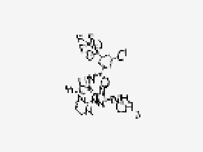 CNc1nc([C@H](C)NC(=O)c2cc(Cl)cc(S(=O)(=O)C(F)(F)F)c2)n(-c2ncccn2)n1